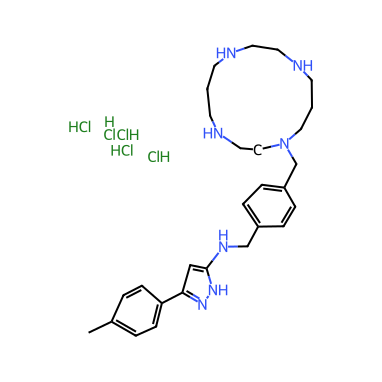 Cc1ccc(-c2cc(NCc3ccc(CN4CCCNCCNCCCNCC4)cc3)[nH]n2)cc1.Cl.Cl.Cl.Cl.Cl